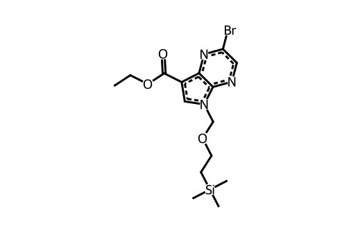 CCOC(=O)c1cn(COCC[Si](C)(C)C)c2ncc(Br)nc12